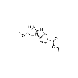 CCOC(=O)c1ccc2c(c1)nc(N)n2CCOC